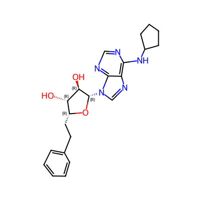 O[C@@H]1[C@@H](O)[C@@H](CCc2ccccc2)O[C@H]1n1cnc2c(NC3CCCC3)ncnc21